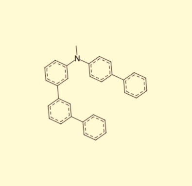 CN(c1ccc(-c2ccccc2)cc1)c1cccc(-c2cccc(-c3ccccc3)c2)c1